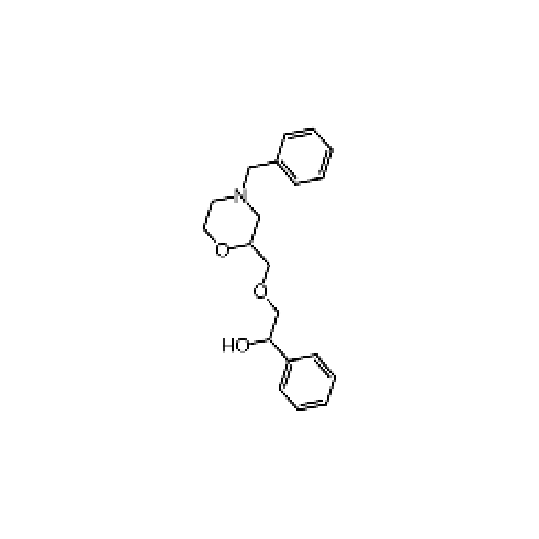 OC(COCC1CN(Cc2ccccc2)CCO1)c1ccccc1